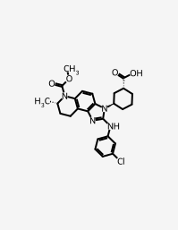 COC(=O)N1c2ccc3c(nc(Nc4cccc(Cl)c4)n3[C@@H]3CCC[C@@H](C(=O)O)C3)c2CC[C@@H]1C